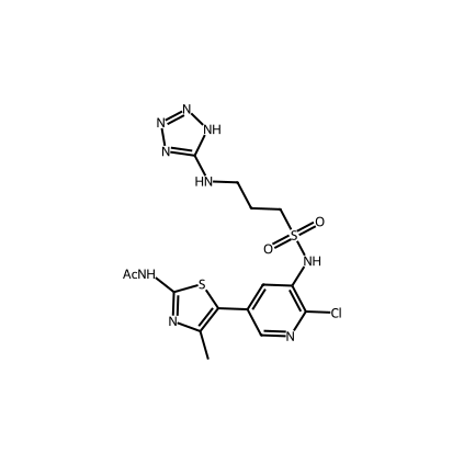 CC(=O)Nc1nc(C)c(-c2cnc(Cl)c(NS(=O)(=O)CCCNc3nnn[nH]3)c2)s1